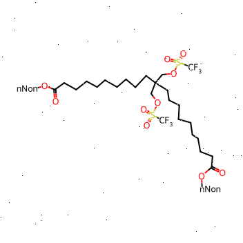 CCCCCCCCCOC(=O)CCCCCCCCCC(CCCCCCCCCC(=O)OCCCCCCCCC)(COS(=O)(=O)C(F)(F)F)COS(=O)(=O)C(F)(F)F